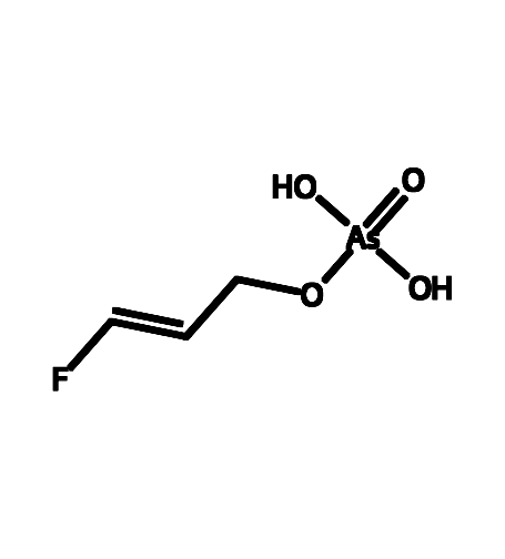 O=[As](O)(O)OCC=CF